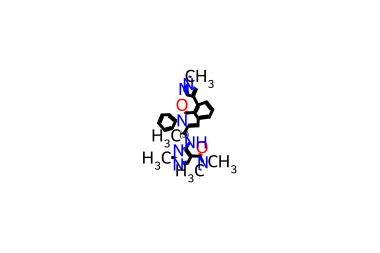 Cc1ncc(C(=O)N(C)C)c(N[C@@H](C)c2cc3cccc(-c4cnn(C)c4)c3c(=O)n2-c2ccccc2)n1